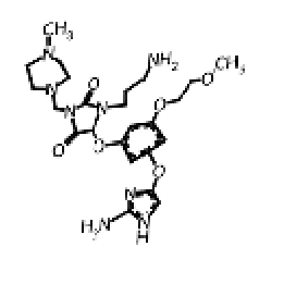 COCCOc1cc(Oc2c[nH]c(N)n2)cc(OC2C(=O)N(CN3CCN(C)CC3)C(=O)N2CCCN)c1